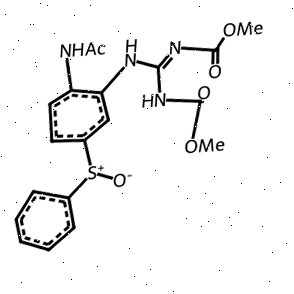 COC(=O)/N=C(\NC(=O)OC)Nc1cc([S+]([O-])c2ccccc2)ccc1NC(C)=O